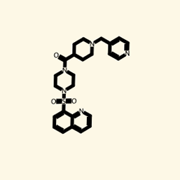 O=C(C1CCN(Cc2ccncc2)CC1)N1CCN(S(=O)(=O)c2cccc3cccnc23)CC1